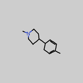 CC1=CCC(C2CCN(C)CC2)C=C1